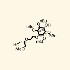 CCCCO[C@@H]1[C@@H](OCCO[C@@H](CO)COC)[C@@H](OCCCC)[C@@H](OCCCC)[C@H](O)[C@H]1OCCCC